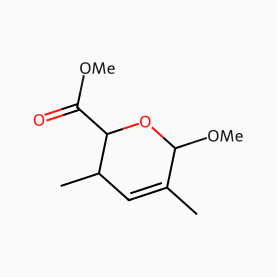 COC(=O)C1OC(OC)C(C)=CC1C